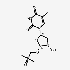 Cc1cn([C@@H]2C[C@H](O)[C@H](OCP(C)(C)=O)O2)c(=O)[nH]c1=O